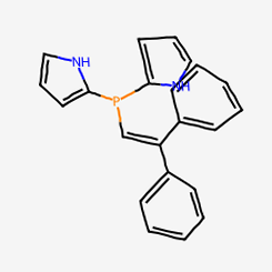 C(=C(c1ccccc1)c1ccccc1)P(c1ccc[nH]1)c1ccc[nH]1